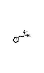 CCN(CCN1CCCC1)C(C)=O